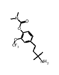 CN(C)C(=O)Oc1ccc(CCC(C)(C)N)cc1OC(F)(F)F